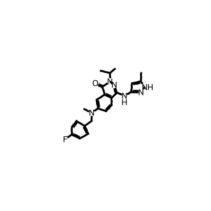 Cc1cc(Nc2nn(C(C)C)c(=O)c3cc(N(C)Cc4ccc(F)cc4)ccc23)n[nH]1